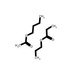 CCCCOC(C)=O.CCCOC(=O)CC